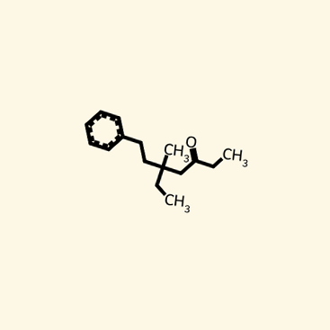 CCC(=O)CC(C)(CC)CCc1ccccc1